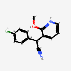 COc1ncccc1C(C#N)c1ccc(Cl)cc1